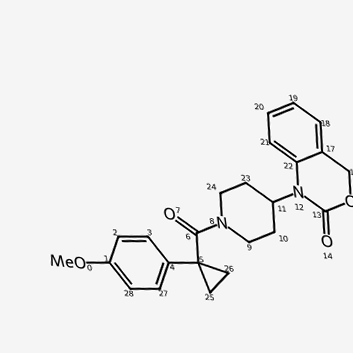 COc1ccc(C2(C(=O)N3CCC(N4C(=O)OCc5ccccc54)CC3)CC2)cc1